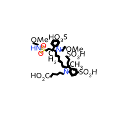 COCCNS(=O)(=O)CCC1(C)C(/C=C/C=C/C=C2/N(CCCCCC(=O)O)c3ccc(S(=O)(=O)O)cc3C2(C)CCCS(=O)(=O)O)=[N+](CCOC)c2ccc(S(=O)(=O)O)cc21